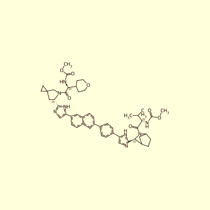 COC(=O)N[C@H](C(=O)N1C2CCC(C2)[C@H]1c1ncc(-c2ccc(-c3ccc4cc(-c5cnc([C@@H]6CC7(CC7)CN6C(=O)[C@@H](NC(=O)OC)C6CCOCC6)[nH]5)ccc4c3)cc2)[nH]1)C(C)C